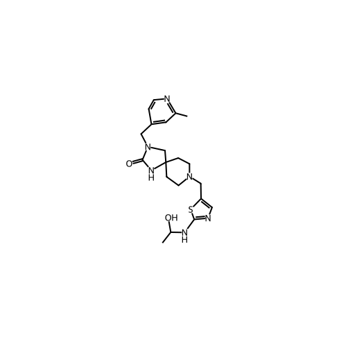 Cc1cc(CN2CC3(CCN(Cc4cnc(NC(C)O)s4)CC3)NC2=O)ccn1